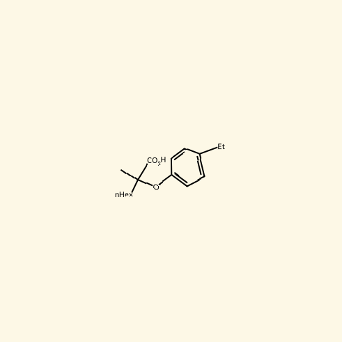 CCCCCCC(C)(Oc1ccc(CC)cc1)C(=O)O